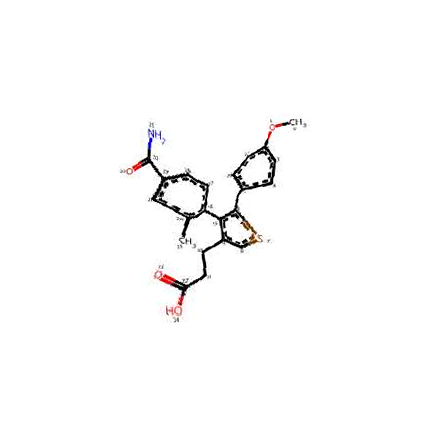 COc1ccc(-c2scc(CCC(=O)O)c2-c2ccc(C(N)=O)cc2C)cc1